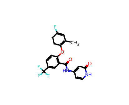 CC1=C(Oc2ccc(C(F)(F)F)cc2C(=O)Nc2cc[nH]c(=O)c2)CCC(F)=C1